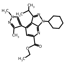 CCOC(=O)c1cc(-c2cn(C)nc2C)c2c(C(C)C)nn(C3CCCCC3)c2n1